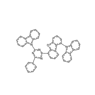 c1ccc(-c2nc(-c3cccc4c3oc3cccc(-n5c6ccccc6c6ccccc65)c34)nc(-n3c4ccccc4c4ccccc43)n2)cc1